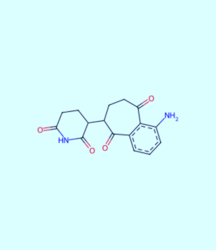 Nc1cccc2c1C(=O)CCC(C1CCC(=O)NC1=O)C2=O